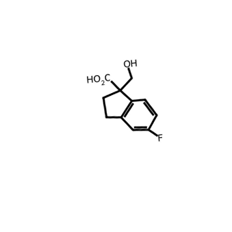 O=C(O)C1(CO)CCc2cc(F)ccc21